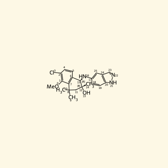 COc1c(Cl)ccc2c1C(C)(C)C[C@](O)(C(F)(F)F)[C@@H]2Nc1ccc2[nH]ncc2c1